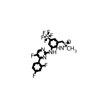 CS(=N)(=O)Cc1cc(Nc2ncc(F)c(-c3ccc(F)cc3F)n2)cc(S(F)(F)(F)(F)F)c1